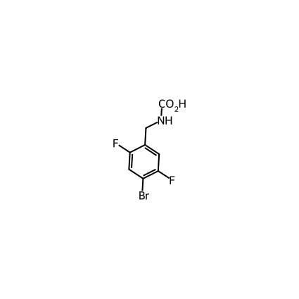 O=C(O)NCc1cc(F)c(Br)cc1F